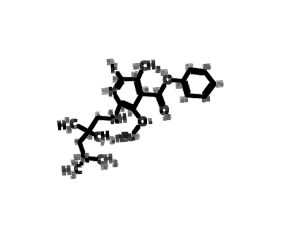 CCCCOc1c(NCC(C)(C)CN(C)C)nc(F)c(C)c1C(=O)Oc1ccccc1